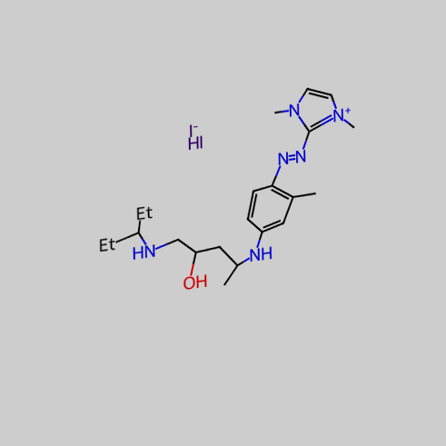 CCC(CC)NCC(O)CC(C)Nc1ccc(N=Nc2n(C)cc[n+]2C)c(C)c1.I.[I-]